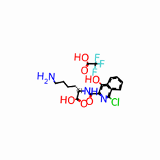 NCCCC[C@H](NC(=O)c1nc(Cl)c2ccccc2c1O)C(=O)O.O=C(O)C(F)(F)F